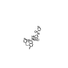 CN(C(=O)c1cccnc1)c1cnc(NNC(=S)NC2c3cnccc3CCc3c(F)cccc32)c(Cl)c1